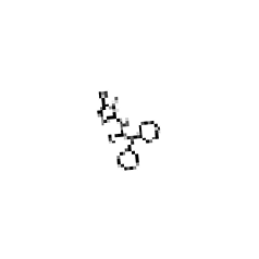 Bc1cnc(NC(=O)N(C2CCCCC2)C2CCCCC2)s1